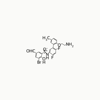 Cc1ccc(OCCN)c(-c2cc(N[S+]([O-])c3cc(C=O)cc(Br)c3O)c(F)cc2F)c1